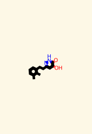 Cc1cccc(CCc2cc(O)c(=O)[nH]n2)c1C